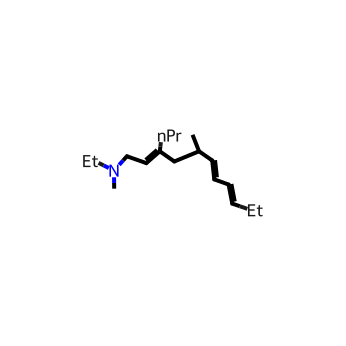 CCC=C/C=C/C(C)C/C(=C/CN(C)CC)CCC